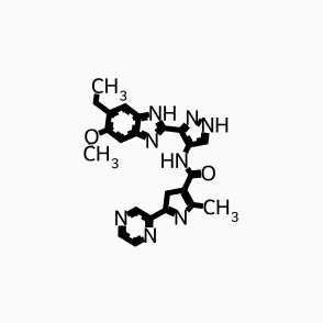 CCc1cc2[nH]c(-c3n[nH]cc3NC(=O)C3=C(C)N=C(c4cnccn4)C3)nc2cc1OC